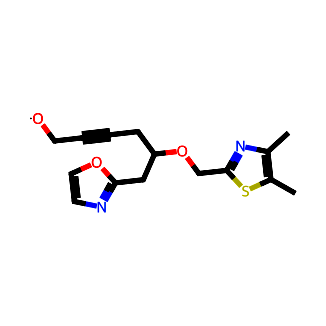 Cc1nc(COC(CC#CC[O])Cc2ncco2)sc1C